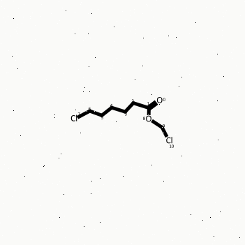 O=C(CCCCCCl)OCCl